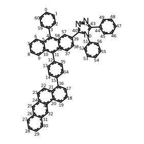 c1ccc(-c2c3ccccc3c(-c3ccc(-c4cccc5c4ccc4cc6ccccc6cc45)cc3)c3ccc(-c4nnc(-c5ccccc5)n4-c4ccccc4)cc23)cc1